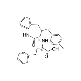 Cc1ccc(CC2Cc3ccccc3NC(=O)[C@H]2N[C@@H](CCc2ccccc2)C(=O)O)cc1